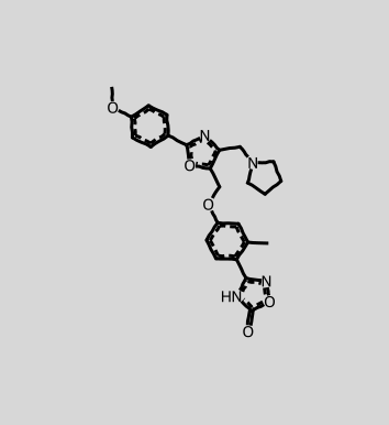 COc1ccc(-c2nc(CN3CCCC3)c(COc3ccc(-c4noc(=O)[nH]4)c(C)c3)o2)cc1